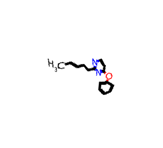 CCCCCc1nccc(Oc2ccccc2)n1